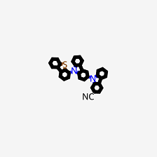 N#Cc1ccc2c3ccccc3n(-c3ccc4c(c3)c3ccccc3n4-c3cccc4c3sc3ccccc34)c2c1